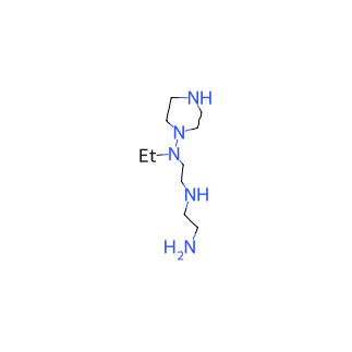 CCN(CCNCCN)N1CCNCC1